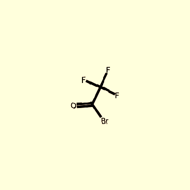 O=C(Br)C(F)(F)F